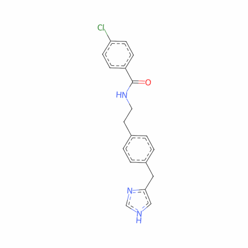 O=C(NCCc1ccc(Cc2c[nH]cn2)cc1)c1ccc(Cl)cc1